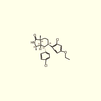 CCOc1ccc([C@@H]2CC[C@@]3(C)C(=O)N[C@H](C)[C@H]3[C@H]2c2ccc(Cl)cc2)c(Cl)c1